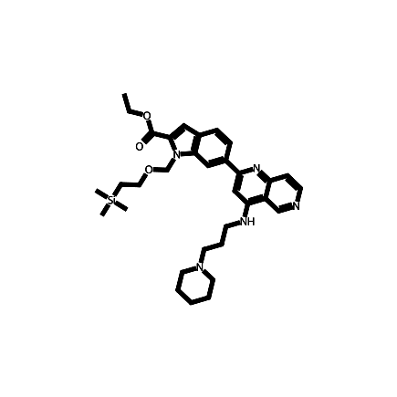 CCOC(=O)c1cc2ccc(-c3cc(NCCCN4CCCCC4)c4cnccc4n3)cc2n1COCC[Si](C)(C)C